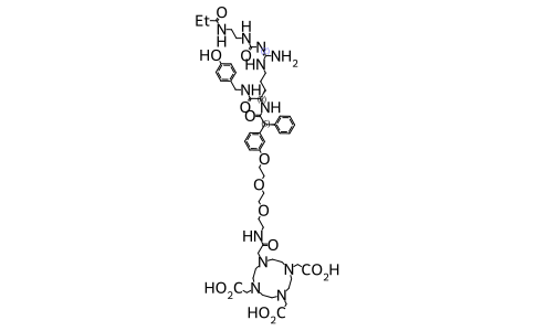 CCC(=O)NCCNC(=O)/N=C(/N)NCCC[C@@H](NC(=O)[C@@H](c1ccccc1)c1cccc(OCCOCCOCCNC(=O)CN2CCN(CC(=O)O)CCN(CC(=O)O)CCN(CC(=O)O)CC2)c1)C(=O)NCc1ccc(O)cc1